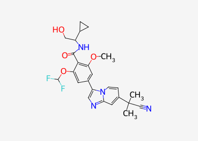 COc1cc(-c2cnc3cc(C(C)(C)C#N)ccn23)cc(OC(F)F)c1C(=O)NC(CO)C1CC1